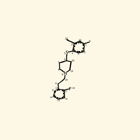 Cc1ccc(SC2CCN(CCc3ccccc3F)CC2)c(C)c1